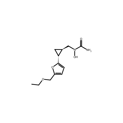 CCOCc1ccc([C@@H]2C[C@H]2CN(O)C(N)=O)o1